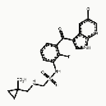 O=C(c1cccc(NS(=O)(=O)CNCC2(C(=O)O)CC2)c1F)c1c[nH]c2ncc(Cl)cc12